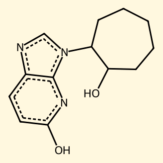 Oc1ccc2ncn(C3CCCCCC3O)c2n1